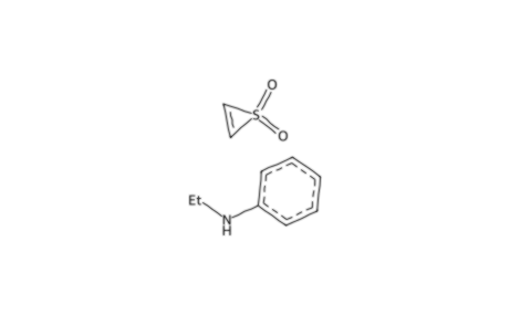 CCNc1ccccc1.O=S1(=O)C=C1